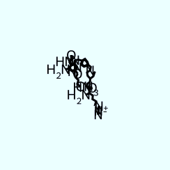 CCCCOc1nc(N)c2[nH]c(=O)n(Cc3ccc(CN4CCC(CCNC(=O)C(N)CCCCN=[N+]=[N-])CC4)cc3)c2n1